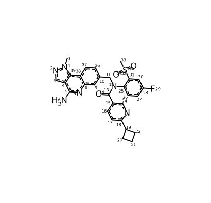 Cn1ncc2c(N)nc3cc(CN(C(=O)c4ccc(C5CCC5)nc4)c4ccc(F)cc4S(C)(=O)=O)ccc3c21